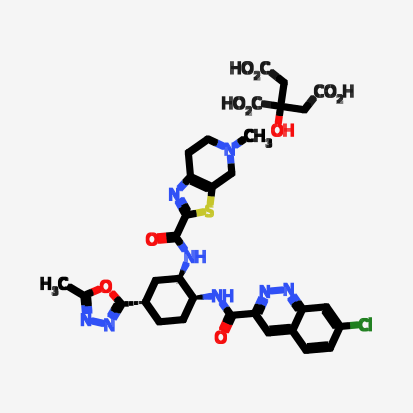 Cc1nnc([C@H]2CC[C@H](NC(=O)c3cc4ccc(Cl)cc4nn3)[C@H](NC(=O)c3nc4c(s3)CN(C)CC4)C2)o1.O=C(O)CC(O)(CC(=O)O)C(=O)O